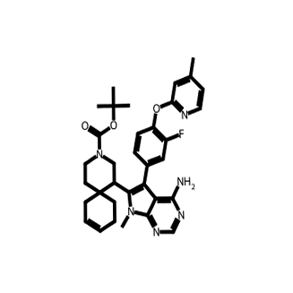 Cc1ccnc(Oc2ccc(-c3c(C4CN(C(=O)OC(C)(C)C)CCC45CC=CCC5)n(C)c4ncnc(N)c34)cc2F)c1